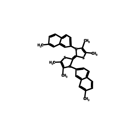 CC1=C(C)N(c2ccc3ccc(C)cc3c2)/C(=C2\SC(C)=C(C)N2c2ccc3ccc(C)cc3c2)S1